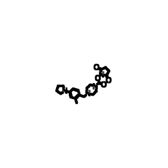 Cc1cc(N2CCCC2)ccc1CN1CCN(C(=O)ON2C(=O)CCC2=O)CC1